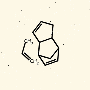 C1=CC2C3C=CC(C3)C2C1.C=CC